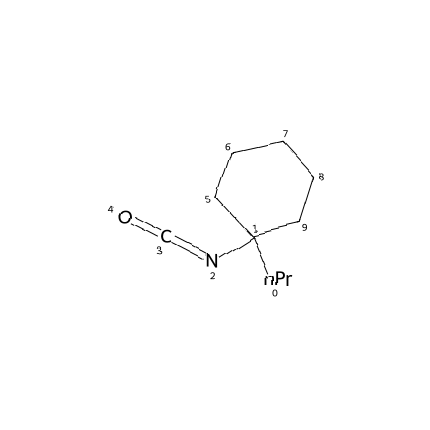 CCCC1(N=C=O)CCCCC1